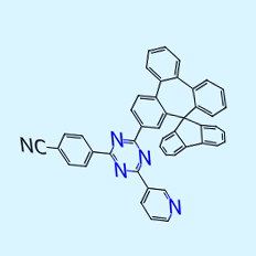 N#Cc1ccc(-c2nc(-c3cccnc3)nc(-c3ccc4c(c3)C3(c5ccccc5-c5ccccc5-4)c4ccccc4-c4ccccc43)n2)cc1